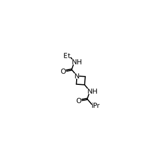 CCNC(=O)N1CC(NC(=O)C(C)C)C1